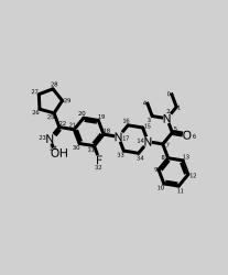 CCN(CC)C(=O)C(c1ccccc1)N1CCN(c2ccc(/C(=N\O)C3CCCC3)cc2F)CC1